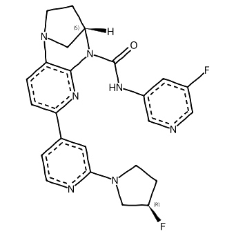 O=C(Nc1cncc(F)c1)N1c2nc(-c3ccnc(N4CC[C@@H](F)C4)c3)ccc2N2CC[C@H]1C2